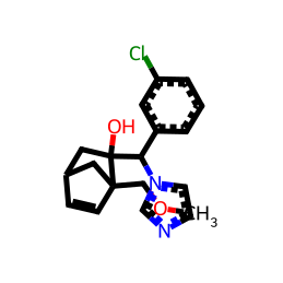 COCC12C=CC(C1)CC2(O)C(c1cccc(Cl)c1)n1ccnc1